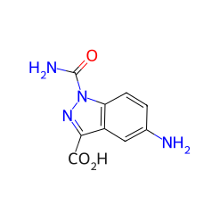 NC(=O)n1nc(C(=O)O)c2cc(N)ccc21